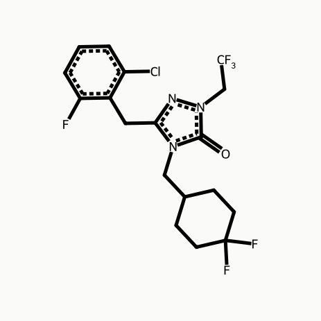 O=c1n(CC(F)(F)F)nc(Cc2c(F)cccc2Cl)n1CC1CCC(F)(F)CC1